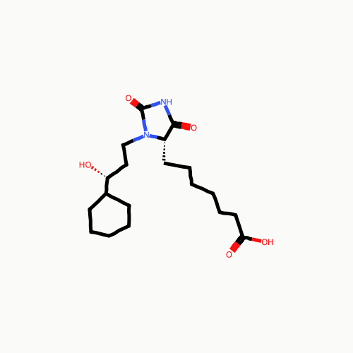 O=C(O)CCCCCC[C@H]1C(=O)NC(=O)N1CC[C@@H](O)C1CCCCC1